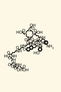 Nc1ccc(CC(NC(=O)CCC(C(=O)O)N2CCN(CC(=O)O)CCN(CC(=O)O)CCN(CC(=O)O)CC2)C(=O)N[C@H](Cc2ccc(O)cc2)C(=O)NC(Cc2ccc3ccccc3c2)C(=O)N[C@H](CCCCNC(=O)CCC(=O)NCCCC(NC(=O)CC[C@H](NC(=O)N[C@@H](CCC(=O)O)C(=O)O)C(=O)O)C(=O)O)C(O)O)cc1